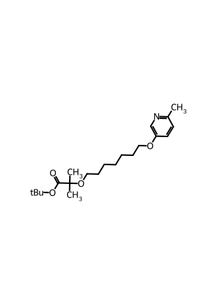 Cc1ccc(OCCCCCCCOC(C)(C)C(=O)OC(C)(C)C)cn1